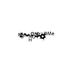 COc1cccc(-c2cc(OC(=O)NCCCn3ccnc3)no2)c1